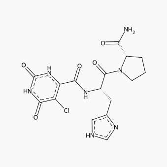 NC(=O)[C@@H]1CCCN1C(=O)[C@H](Cc1c[nH]cn1)NC(=O)c1[nH]c(=O)[nH]c(=O)c1Cl